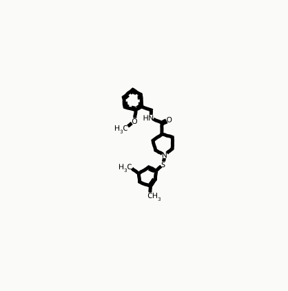 COc1ccccc1CNC(=O)C1CCN(SC2=CC(C)CC(C)=C2)CC1